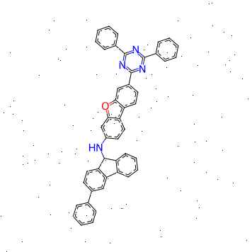 c1ccc(-c2ccc3c(c2)-c2ccccc2C3Nc2ccc3c(c2)oc2cc(-c4nc(-c5ccccc5)nc(-c5ccccc5)n4)ccc23)cc1